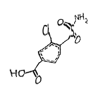 NS(=O)(=O)c1ccc(C(=O)O)cc1Cl